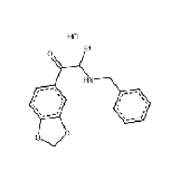 CCC(NCc1ccccc1)C(=O)c1ccc2c(c1)OCO2.Cl